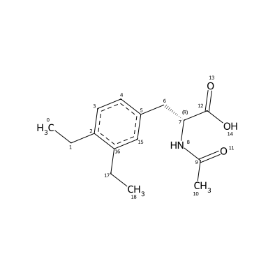 CCc1ccc(C[C@@H](NC(C)=O)C(=O)O)cc1CC